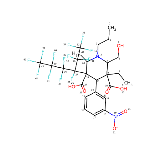 CCCN1C(CO)C(CC)(C(=O)O)C(c2cccc([N+](=O)[O-])c2)C(C(=O)O)(C(F)(C(F)(F)C(F)(F)F)C(F)(F)C(F)(F)C(F)(F)F)C1C